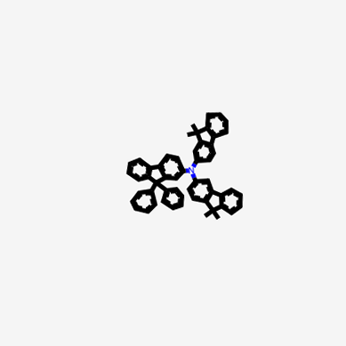 CC1(C)c2ccccc2-c2cc(N(c3ccc4c(c3)C(C)(C)c3ccccc3-4)c3ccc4c(c3)C(c3ccccc3)(c3ccccc3)c3ccccc3-4)ccc21